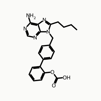 CCCCc1nc2c(N)ncnc2n1Cc1ccc(-c2ccccc2OC(=O)O)cc1